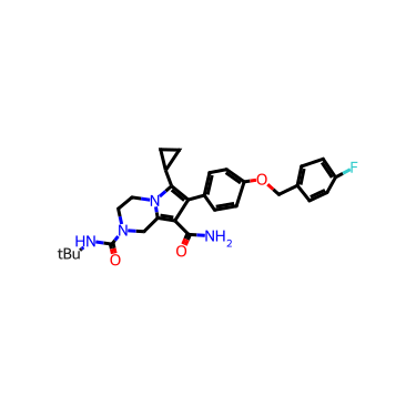 CC(C)(C)NC(=O)N1CCn2c(c(C(N)=O)c(-c3ccc(OCc4ccc(F)cc4)cc3)c2C2CC2)C1